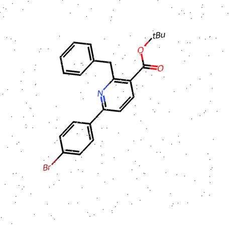 CC(C)(C)OC(=O)c1ccc(-c2ccc(Br)cc2)nc1Cc1ccccc1